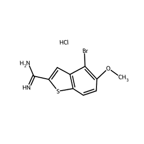 COc1ccc2sc(C(=N)N)cc2c1Br.Cl